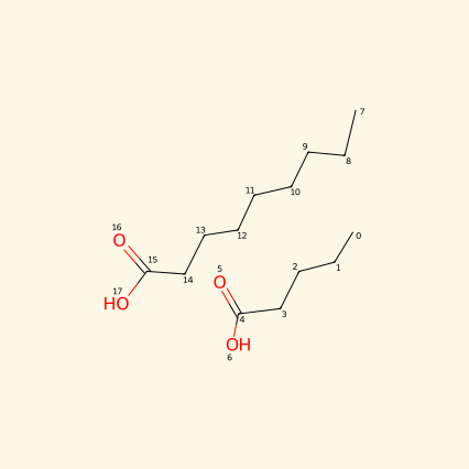 CCCCC(=O)O.CCCCCCCCC(=O)O